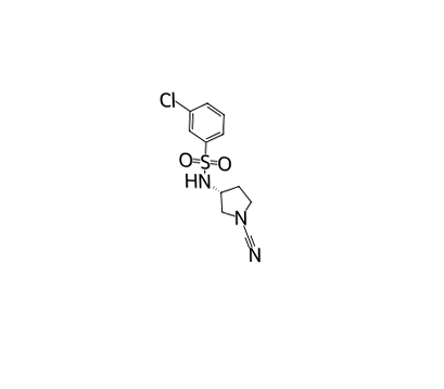 N#CN1CC[C@@H](NS(=O)(=O)c2cccc(Cl)c2)C1